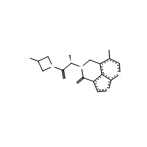 CC(C)[C@H](C(=O)N1CC(C#N)C1)N1Cc2c(Cl)cnc3[nH]cc(c23)C1=O